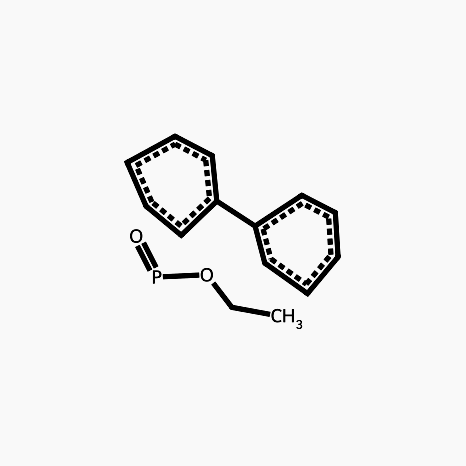 CCOP=O.c1ccc(-c2ccccc2)cc1